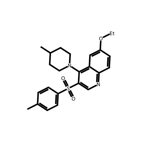 CCOc1ccc2ncc(S(=O)(=O)c3ccc(C)cc3)c(N3CCC(C)CC3)c2c1